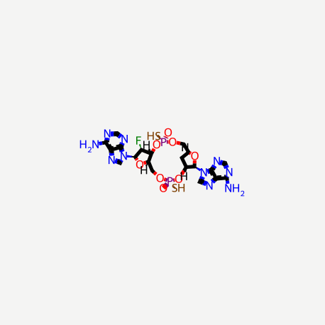 Nc1ncnc2c1ncn2[C@@H]1O[C@@H]2CO[P@@](=O)(S)O[C@@H]3C[C@@H](CO[P@](=O)(S)O[C@H]2[C@H]1F)O[C@H]3n1cnc2c(N)ncnc21